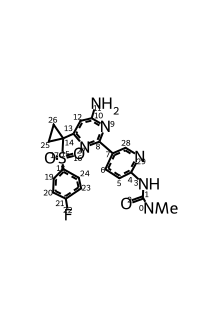 CNC(=O)Nc1ccc(-c2nc(N)cc(C3(S(=O)(=O)c4ccc(F)cc4)CC3)n2)cn1